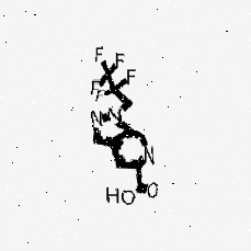 O=C(O)c1cc2cnn(CC(F)(F)C(F)(F)F)c2cn1